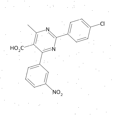 Cc1nc(-c2ccc(Cl)cc2)nc(-c2cccc([N+](=O)[O-])c2)c1C(=O)O